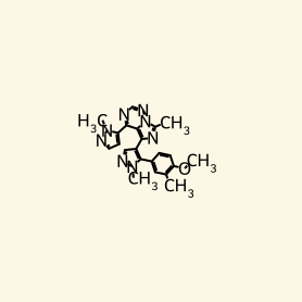 COc1ccc(-c2c(-c3nc(C)n4ncnc(-c5ccnn5C)c34)cnn2C)cc1C